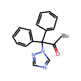 CCC(C)C(=O)C(c1ccccc1)(c1ccccc1)n1cncn1